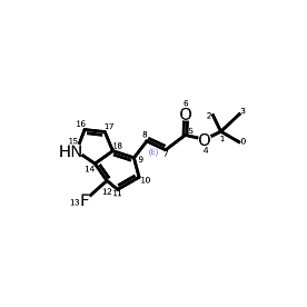 CC(C)(C)OC(=O)/C=C/c1ccc(F)c2[nH]ccc12